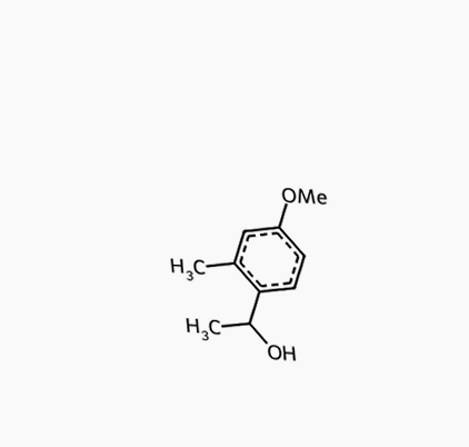 COc1ccc(C(C)O)c(C)c1